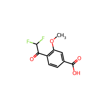 COc1cc(C(=O)O)ccc1C(=O)C(F)F